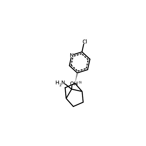 NC1(O)C2CCC1[C@@H](c1ccc(Cl)nc1)C2